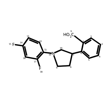 O=C(O)c1ccccc1C1CCN(c2ccc(F)cc2F)C1